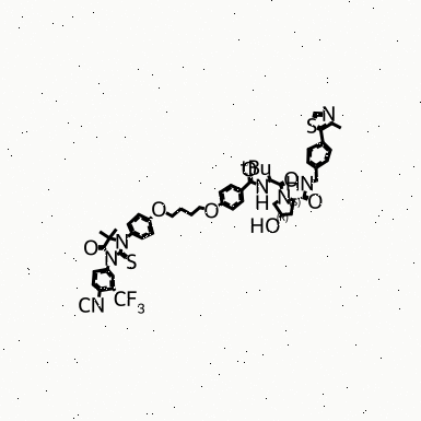 Cc1ncsc1-c1ccc(CNC(=O)[C@@H]2C[C@@H](O)CN2C(=O)C(NC(=O)c2ccc(OCCCCOc3ccc(N4C(=S)N(c5ccc(C#N)c(C(F)(F)F)c5)C(=O)C4(C)C)cc3)cc2)C(C)(C)C)cc1